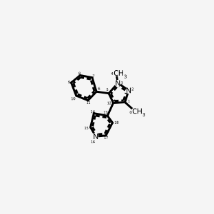 Cc1nn(C)c(-c2ccccc2)c1-c1ccncc1